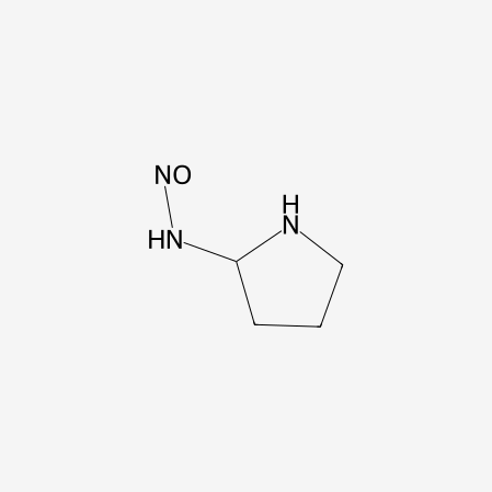 O=NNC1CCCN1